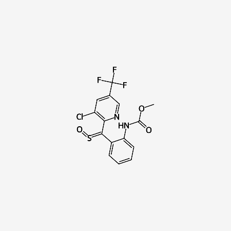 COC(=O)Nc1ccccc1C(=S=O)c1ncc(C(F)(F)F)cc1Cl